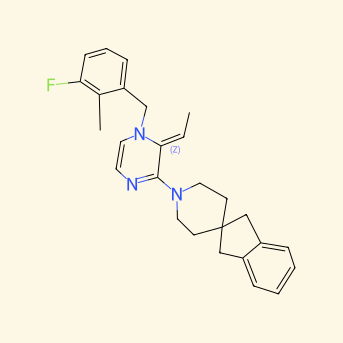 C/C=C1/C(N2CCC3(CC2)Cc2ccccc2C3)=NC=CN1Cc1cccc(F)c1C